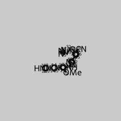 COc1cc(N2CCC(N3CCNCC3)CC2)ccc1Nc1ncc(-c2ccc(C#N)c(O[C@@H](C)Cn3cnnn3)c2)cn1